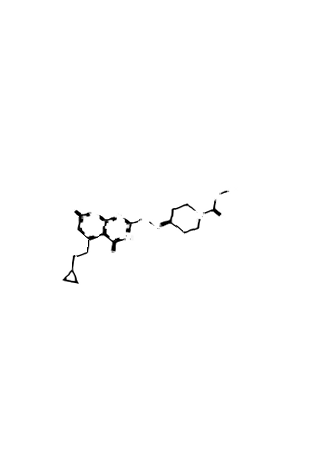 CC(C)OC(=O)N1CCC(=NOc2nc3oc(=O)cc(CCC4CC4)c3c(=O)[nH]2)CC1